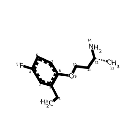 [CH2]Cc1cc(F)ccc1OCC[C@@H](C)N